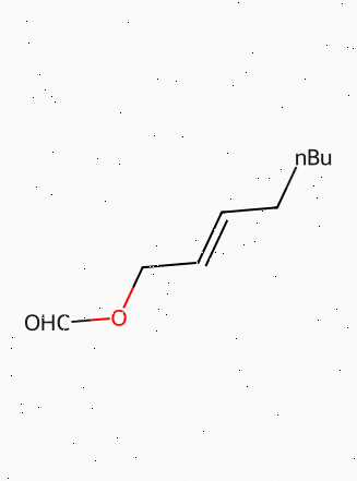 CCCCCC=CCOC=O